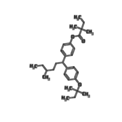 CCC(C)CCC(c1ccc(OC(=O)C(C)(C)CC)cc1)c1ccc(OC(C)(C)CC)cc1